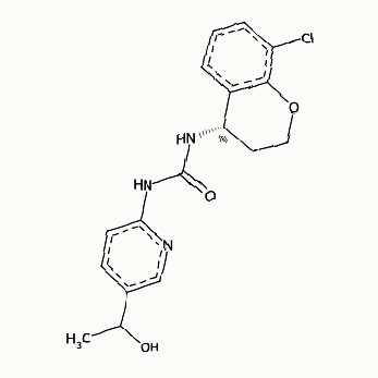 CC(O)c1ccc(NC(=O)N[C@H]2CCOc3c(Cl)cccc32)nc1